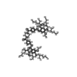 CCCCC(CC)CN(CC(CC)CCCC)c1cc(NC(=O)C(CC)CCCC)c(N=Nc2ccc(C(=O)N3CCN(C(=O)c4ccc(N=Nc5cc(OCC)c(N(CC(CC)CCCC)CC(CC)CCCC)cc5NC(=O)C(CC)CCCC)cc4)CC3)cc2)cc1OCC